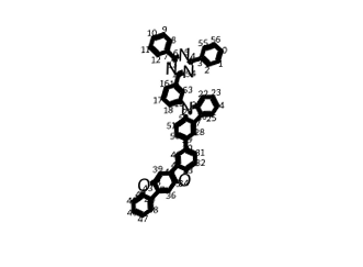 c1ccc(-c2nc(-c3ccccc3)nc(-c3cccc(-n4c5ccccc5c5cc(-c6ccc7oc8cc9c(cc8c7c6)oc6ccccc69)ccc54)c3)n2)cc1